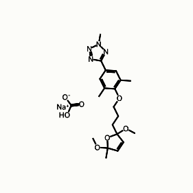 COC1(C)C=CC(CCCOc2c(C)cc(-c3nnn(C)n3)cc2C)(OC)O1.O=C([O-])O.[Na+]